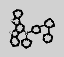 c1ccc(-c2ccccc2-c2ccc(N(c3ccccc3)c3cc4c5ccccc5sc4c4oc5ccccc5c34)cc2)cc1